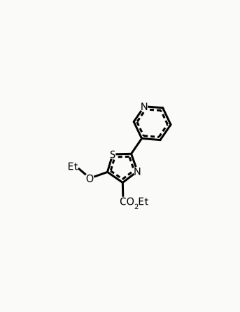 CCOC(=O)c1nc(-c2cccnc2)sc1OCC